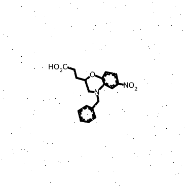 O=C(O)CCC1CN(Cc2ccccc2)c2cc([N+](=O)[O-])ccc2O1